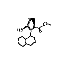 COC(=O)c1cnc(S)n1C1CCCC2CCCCC21